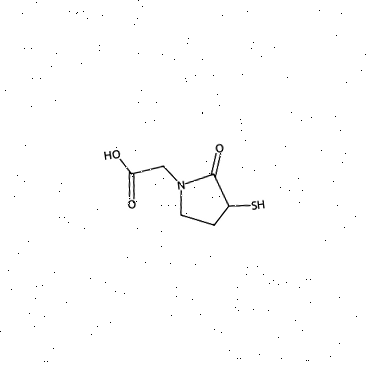 O=C(O)CN1CCC(S)C1=O